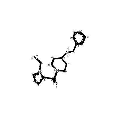 C[C](C)Cn1cccc1C(=O)N1CCC(NCc2ccccc2)CC1